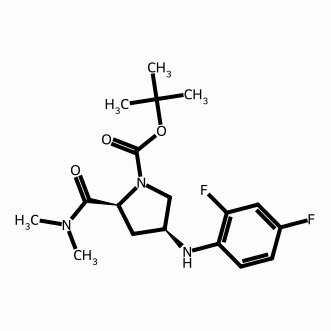 CN(C)C(=O)[C@@H]1C[C@H](Nc2ccc(F)cc2F)CN1C(=O)OC(C)(C)C